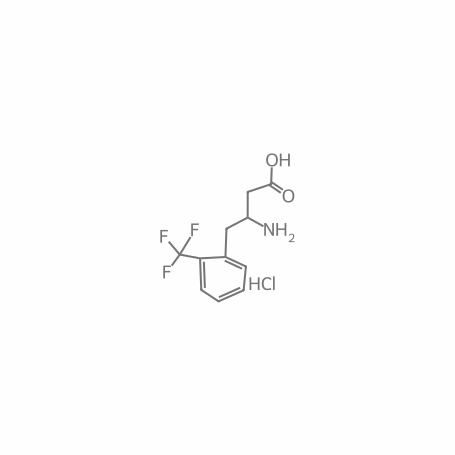 Cl.NC(CC(=O)O)Cc1ccccc1C(F)(F)F